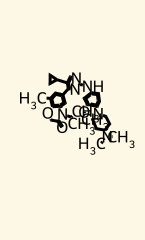 COc1cc(Nc2ncc(C3CC3)c(-c3cc(C)c4c(c3)N(C(C)C)C(=O)CO4)n2)ccc1N1CCC(N(C)C)CC1